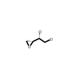 ClC[C@@H](Cl)[C@H]1CO1